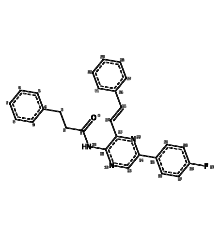 O=C(CCc1ccccc1)Nc1ncc(-c2ccc(F)cc2)nc1/C=C/c1ccccc1